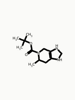 CC1CC2=C(CN1C(=O)OC(C)(C)C)NCN2